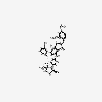 COc1ccc(CN2Cc3nc(-c4c(F)cccc4F)cc(Nc4ccc(N5C(=O)CCC5(C)C)cn4)c3C2=O)c(OC)c1